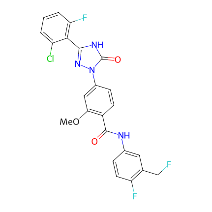 COc1cc(-n2nc(-c3c(F)cccc3Cl)[nH]c2=O)ccc1C(=O)Nc1ccc(F)c(CF)c1